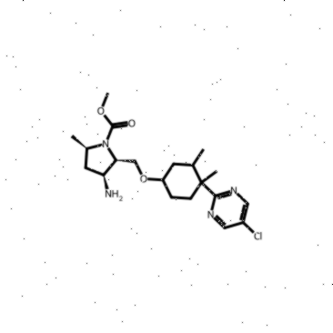 COC(=O)N1[C@H](C)C[C@H](N)[C@@H]1COC1CCC(C)(c2ncc(Cl)cn2)C(C)C1